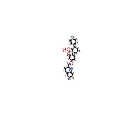 O=C(O)C1(c2ccc(OCc3ccc4ccccc4n3)cc2)CCCC(c2ccccc2)C1